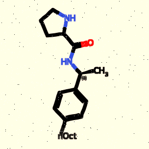 CCCCCCCCc1ccc([C@H](C)NC(=O)C2CCCN2)cc1